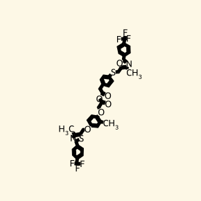 Cc1cc(OCc2sc(-c3ccc(C(F)(F)F)cc3)nc2C)ccc1OCC(=O)OC(=O)Cc1ccc(SCc2oc(-c3ccc(C(F)(F)F)cc3)nc2C)cc1